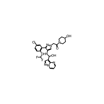 O=C(Cn1cc(NC(O)c2cnn3cccnc23)c(-c2cc(Cl)ccc2OC(F)F)n1)N1CCC(O)CC1